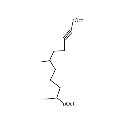 [CH2]CCCCCCCC#CCCC(C)CCCC(C)CCCCCCC[CH2]